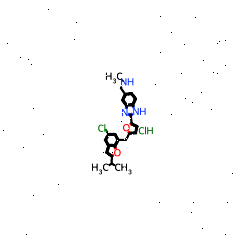 CNCc1ccc2[nH]c(-c3ccc(Cc4cc(Cl)cc5cc(C(C)C)oc45)o3)nc2c1.Cl